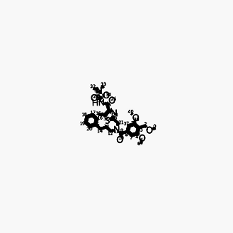 COCc1c(OC)cc(C(=O)N(CCCc2ccccc2)Cc2nc(C(=O)NS(=O)(=O)N(C)C)c(C)s2)cc1OC